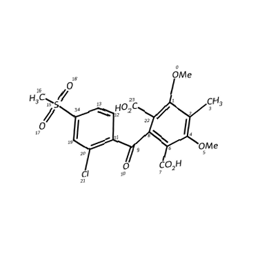 COc1c(C)c(OC)c(C(=O)O)c(C(=O)c2ccc(S(C)(=O)=O)cc2Cl)c1C(=O)O